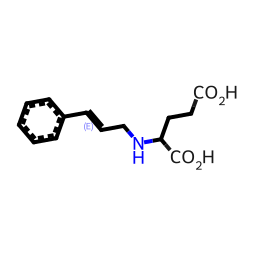 O=C(O)CCC(NC/C=C/c1ccccc1)C(=O)O